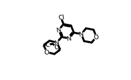 Clc1cc(N2CCOCC2)nc(N2CC3CCCC2CO3)n1